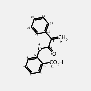 C=C(C(=O)Oc1ccccc1C(=O)O)c1ccccc1